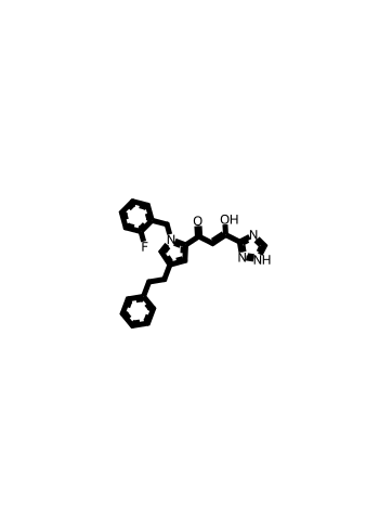 O=C(C=C(O)c1nc[nH]n1)c1cc(CCc2ccccc2)cn1Cc1ccccc1F